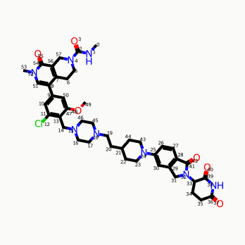 CNC(=O)N1CCc2c(-c3cc(Cl)c(CN4CCN(CCC5CCN(c6ccc7c(c6)CN(C6CCC(=O)NC6=O)C7=O)CC5)CC4)c(OC)c3)cn(C)c(=O)c2C1